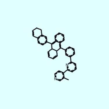 Cc1cnccc1-c1cccc(-c2cccc(C3=c4ccccc4=C(c4ccc5c(c4)CCC=C5)C4C=CC=CC34)c2)n1